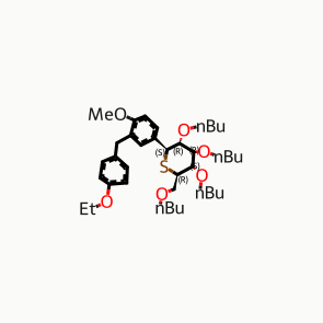 CCCCOC[C@H]1S[C@@H](c2ccc(OC)c(Cc3ccc(OCC)cc3)c2)[C@H](OCCCC)[C@@H](OCCCC)[C@@H]1OCCCC